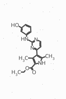 CCOC(=O)c1[nH]c(C)c(-c2ccnc(Nc3cccc(O)c3)n2)c1C